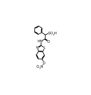 O=C(Nc1nc2ccc(O[N+](=O)[O-])cc2s1)C(c1ccccc1)S(=O)(=O)O